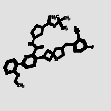 CCOc1ncccc1-c1ccc(N2CC3(CC(Oc4ccc(F)cc4C#N)CO3)C2)c(C(=O)N[C@@H]2CCN(C(=O)OC(C)(C)C)C2)n1